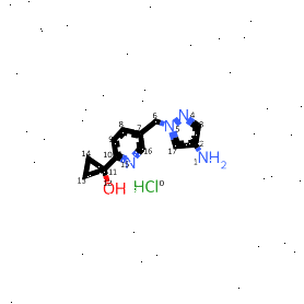 Cl.Nc1cnn(Cc2ccc(C3(O)CC3)nc2)c1